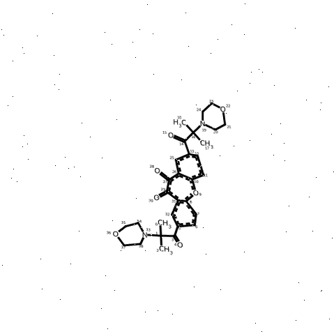 CC(C)(C(=O)c1ccc2oc3ccc(C(=O)C(C)(C)N4CCOCC4)cc3c(=O)c(=O)c2c1)N1CCOCC1